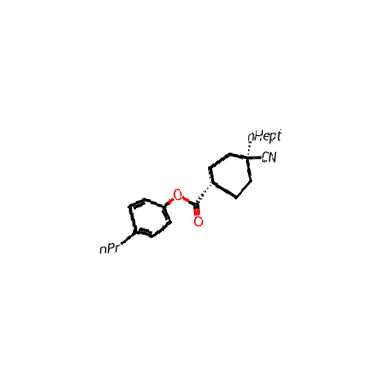 CCCCCCC[C@]1(C#N)CC[C@H](C(=O)Oc2ccc(CCC)cc2)CC1